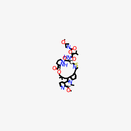 CCn1c(-c2cccnc2[C@H](C)OC)c2c3cc(ccc31)-c1csc(n1)C[C@H](NC(=O)[C@@H](OC(=O)N1CC(OC)C1)C(C)C)C(=O)N1CCC[C@H](N1)C(=O)OCC(C)(C)C2